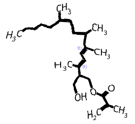 C=C(C)C(=O)OCC(CO)/C(C)=C/C=C(\C)C(C)CCC(C)CCCCC